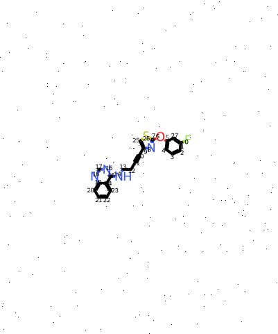 Fc1cccc(Oc2nc(C#CCCNc3ncnc4ccccc34)cs2)c1